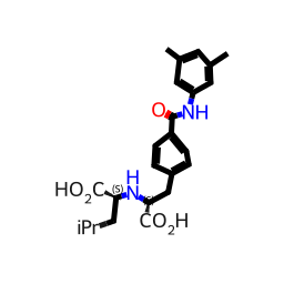 Cc1cc(C)cc(NC(=O)c2ccc(C[C@H](N[C@@H](CC(C)C)C(=O)O)C(=O)O)cc2)c1